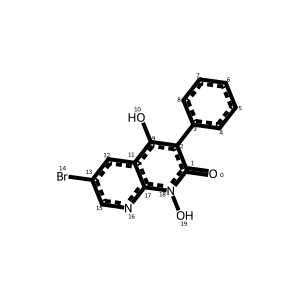 O=c1c(-c2ccccc2)c(O)c2cc(Br)cnc2n1O